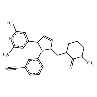 Cc1cc(C2C=CN(CC3CCCN(C)C3=O)N2c2cccc(C#N)c2)cc(C)n1